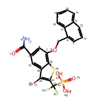 NC(=O)c1cc(OCc2cccc3ccccc23)c2sc(C(F)(F)P(=O)(O)O)c(Br)c2c1